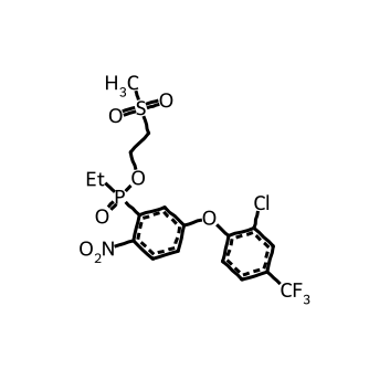 CCP(=O)(OCCS(C)(=O)=O)c1cc(Oc2ccc(C(F)(F)F)cc2Cl)ccc1[N+](=O)[O-]